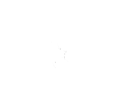 CC(C)[C@H](N)C(=O)O.NC(=O)O.NC(=O)O